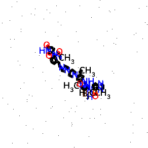 CCc1cc(Nc2ncc(Br)c(Nc3ccc4nccnc4c3P(C)(C)=O)n2)c(OC)cc1N1CCC(N2CCN(CCc3cccc4c3n(C)c(=O)n4C3CCC(=O)NC3=O)CC2)CC1